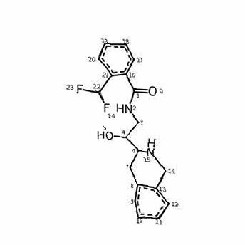 O=C(NCC(O)C1Cc2ccccc2CN1)c1ccccc1C(F)F